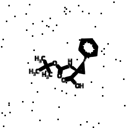 CC(C)(C)OC(=O)N[C@]1(C(=O)O)C[C@H]1c1ccccc1